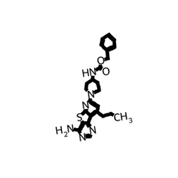 CCCc1cc(N2CCC(NC(=O)OCc3ccccc3)CC2)nc2sc3c(N)ncnc3c12